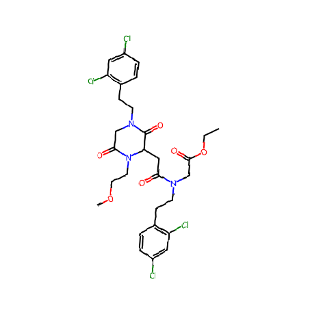 CCOC(=O)CN(CCc1ccc(Cl)cc1Cl)C(=O)CC1C(=O)N(CCc2ccc(Cl)cc2Cl)CC(=O)N1CCOC